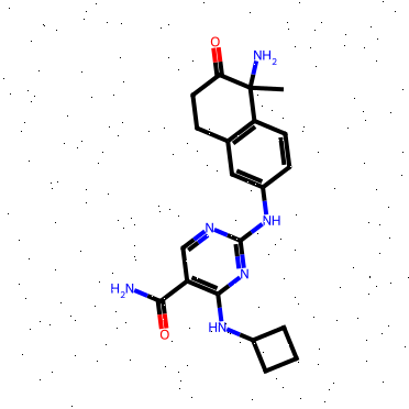 CC1(N)C(=O)CCc2cc(Nc3ncc(C(N)=O)c(NC4CCC4)n3)ccc21